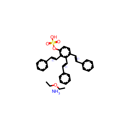 CCOCC.N.O=S(=O)(O)Oc1ccc(/C=C/c2ccccc2)c(/C=C/c2ccccc2)c1/C=C/c1ccccc1